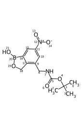 CC(C)(C)OC(=O)NCc1cc([N+](=O)[O-])cc2c1COB2O